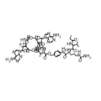 CCC(=O)N[C@H](C(=O)N[C@@H](CCCNC(N)=O)C(=O)Nc1ccc(COC(=O)N[C@@H](C)[C@H](C)OC(=O)O[C@@H]2[C@@H]3O[P@](=O)(S)OC[C@H]4O[C@@H](n5cnc6c(N)ncnc65)[C@H](F)[C@@H]4O[P@](=O)(S)OC[C@H]3O[C@H]2n2cnc3c(N)ncnc32)cc1)C(C)C